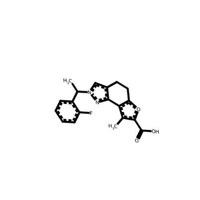 Cc1c(C(=O)O)oc2c1-c1nn(C(C)c3ccccc3F)cc1CC2